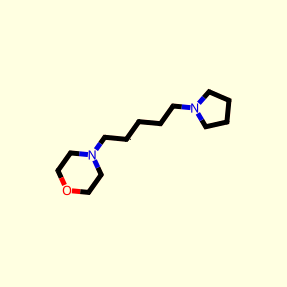 [CH](CCCN1CCCC1)CN1CCOCC1